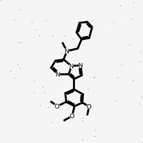 COc1cc(-c2cnn3c(N(C)Cc4ccccc4)ccnc23)cc(OC)c1OC